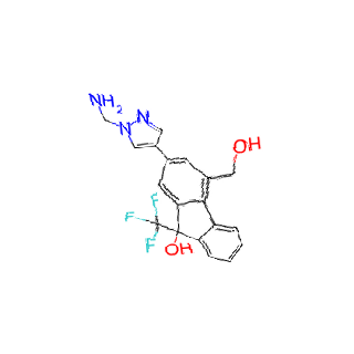 NCn1cc(-c2cc(CO)c3c(c2)C(O)(C(F)(F)F)c2ccccc2-3)cn1